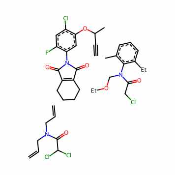 C#CC(C)Oc1cc(N2C(=O)C3=C(CCCC3)C2=O)c(F)cc1Cl.C=CCN(CC=C)C(=O)C(Cl)Cl.CCOCN(C(=O)CCl)c1c(C)cccc1CC